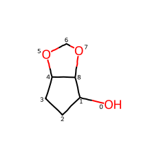 OC1CCC2OCOC12